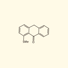 CSc1cccc2c1C(=O)c1ccccc1C2